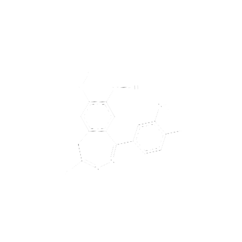 COc1cc2c(cc1OC)C(c1ccc(Cl)c(N)c1)=NN=C(C)C2